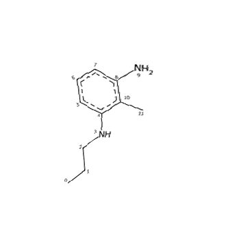 CCCNc1cccc(N)c1C